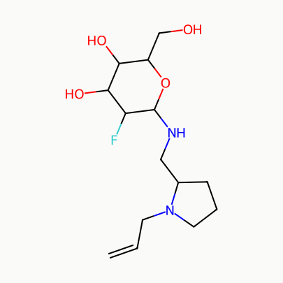 C=CCN1CCCC1CNC1OC(CO)C(O)C(O)C1F